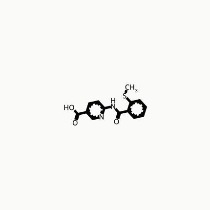 CSc1ccccc1C(=O)Nc1ccc(C(=O)O)cn1